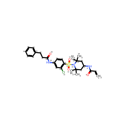 C=CC(=O)NC1CC(C)(C)N(S(=O)(=O)c2ccc(NC(=O)CCc3ccccc3)cc2Cl)C(C)(C)C1